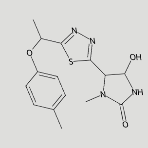 Cc1ccc(OC(C)c2nnc(C3C(O)NC(=O)N3C)s2)cc1